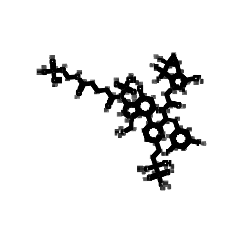 CC(C)(CCc1ccc(-c2ccc(Cl)c3c(N(C(=O)CCCC(=O)OCOP(=O)(O)O)S(C)(=O)=O)nn(CC(F)(F)F)c23)c([C@H](Cc2cc(F)cc(F)c2)NC(=O)Cn2nc(C(F)(F)F)c3c2C(F)(F)[C@@H]2CC32)n1)S(C)(=O)=O